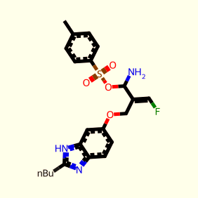 CCCCc1nc2ccc(OC/C(=C\F)C(N)OS(=O)(=O)c3ccc(C)cc3)cc2[nH]1